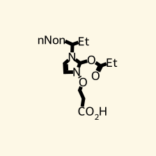 CCCCCCCCCC(CC)N1C=CN(OCCC(=O)O)C1OC(=O)CC